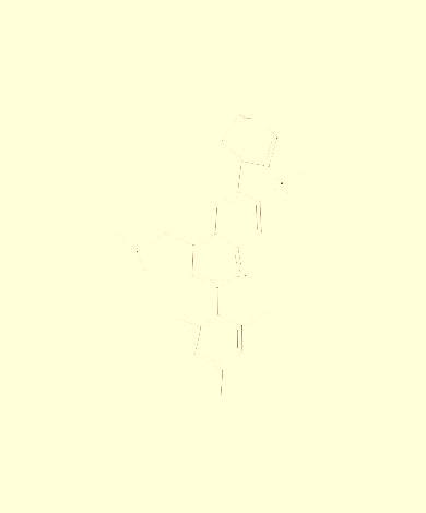 Cc1cc(C)c(-c2cc(CC(C)C)c3cc4c(cc3n2)C(C)(C)c2ccccc2-4)c(C)c1